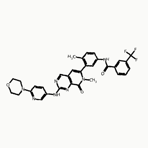 Cc1ccc(NC(=O)c2cccc(C(F)(F)F)c2)cc1-c1cc2cnc(Nc3ccc(N4CCOCC4)nc3)nc2c(=O)n1C